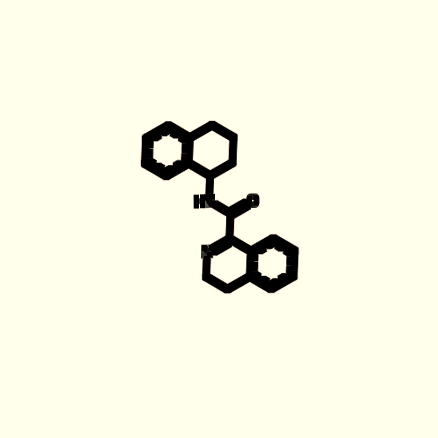 O=C(NC1CCCc2ccccc21)C1=NCCc2ccccc21